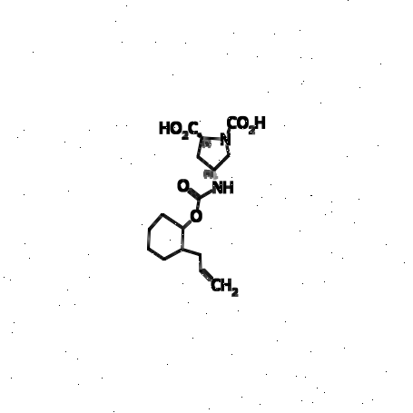 C=CCC1CCCCC1OC(=O)N[C@@H]1C[C@@H](C(=O)O)N(C(=O)O)C1